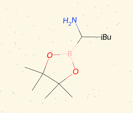 CCC(C)C(N)B1OC(C)(C)C(C)(C)O1